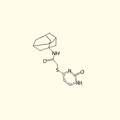 O=C(CSc1cc[nH]c(=O)n1)NC12CC3CC(CC(C3)C1)C2